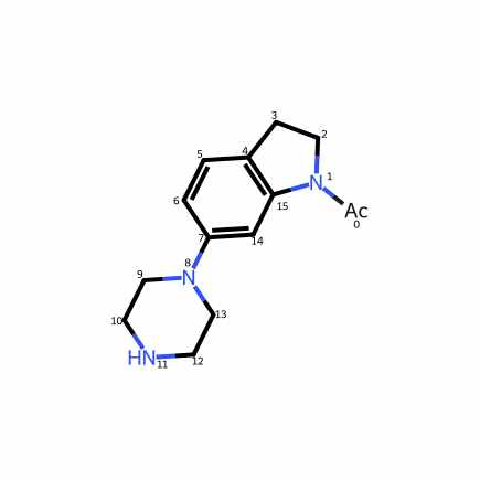 CC(=O)N1CCc2ccc(N3CCNCC3)cc21